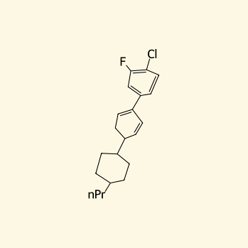 CCCC1CCC(C2C=CC(c3ccc(Cl)c(F)c3)=CC2)CC1